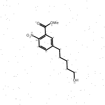 COC(=O)c1cc(CCCCCO)ccc1[N+](=O)[O-]